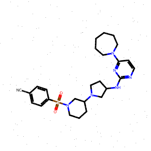 N#Cc1ccc(S(=O)(=O)N2CCCC(N3CCC(Nc4nccc(N5CCCCCC5)n4)C3)C2)cc1